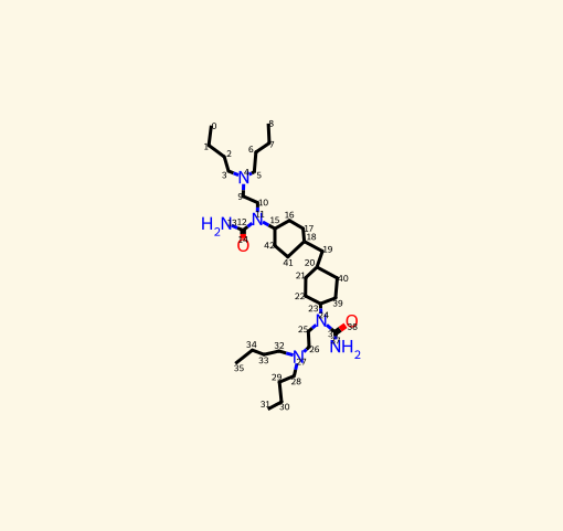 CCCCN(CCCC)CCN(C(N)=O)C1CCC(CC2CCC(N(CCN(CCCC)CCCC)C(N)=O)CC2)CC1